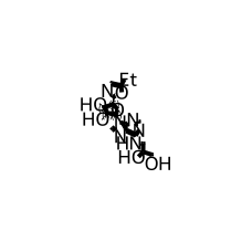 CCc1cnc([C@H]2O[C@@H](n3cnc4c(NCC(O)CO)ncnc43)[C@H](O)[C@@H]2O)o1